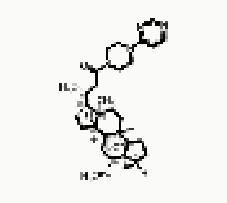 CO[C@@H]1C[C@H]2[C@@H]3CC[C@H]([C@H](C)CC(=O)N4CCN(c5ccncn5)CC4)[C@@]3(C)CC[C@@H]2[C@@]2(C)CC[C@@H]3C[C@@]312